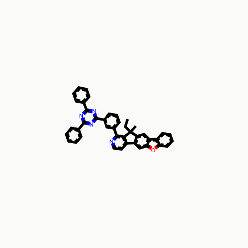 CCC1(C)c2cc3c(cc2-c2ccnc(-c4cccc(-c5nc(-c6ccccc6)nc(-c6ccccc6)n5)c4)c21)oc1ccccc13